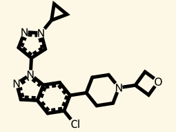 Clc1cc2cnn(-c3cnn(C4CC4)c3)c2cc1C1CCN(C2COC2)CC1